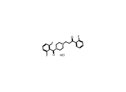 Cl.O=C(CCN1CCN(C(=O)c2c(F)cccc2F)CC1)c1ccccc1F